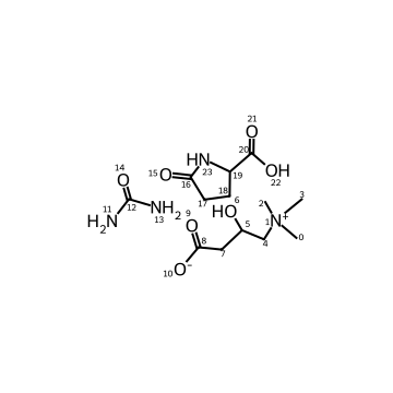 C[N+](C)(C)CC(O)CC(=O)[O-].NC(N)=O.O=C1CCC(C(=O)O)N1